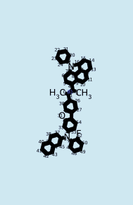 C/C(=C(/C)c1ccc2c3c1ccc1cccc(c13)n2-c1ccccc1)c1ccc2c(c1)oc1cc(N(c3ccc4ccccc4c3)c3ccccc3F)ccc12